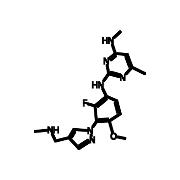 CNCc1cnn(-c2c(OC)ccc(Nc3nc(C)cc(NC)n3)c2F)c1